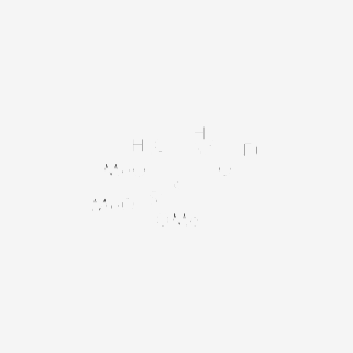 CCO[SiH2]C(C)S[Si](OC)(OC)OC